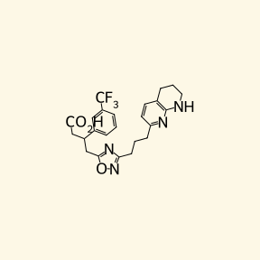 O=C(O)CC(Cc1nc(CCCc2ccc3c(n2)NCCC3)no1)c1cccc(C(F)(F)F)c1